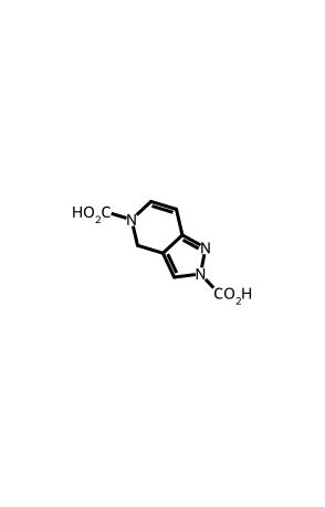 O=C(O)N1C=Cc2nn(C(=O)O)cc2C1